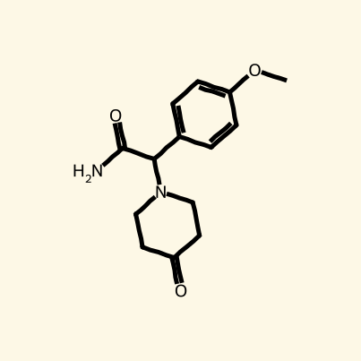 COc1ccc(C(C(N)=O)N2CCC(=O)CC2)cc1